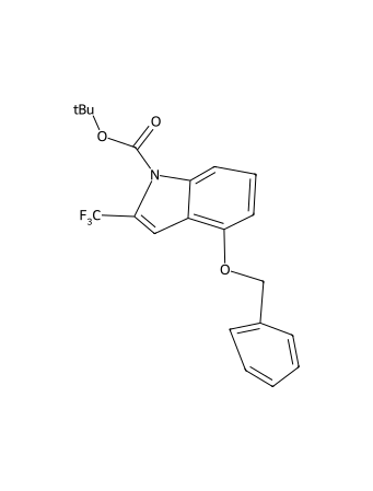 CC(C)(C)OC(=O)n1c(C(F)(F)F)cc2c(OCc3ccccc3)cccc21